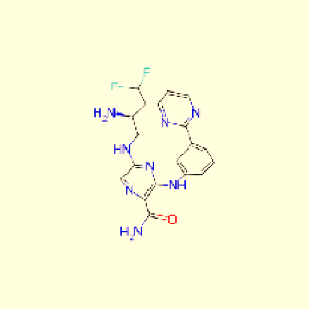 NC(=O)c1ncc(NC[C@@H](N)CC(F)F)nc1Nc1cccc(-c2ncccn2)c1